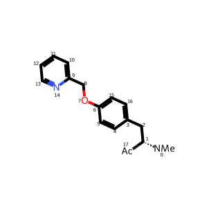 CN[C@@H](Cc1ccc(OCc2ccccn2)cc1)C(C)=O